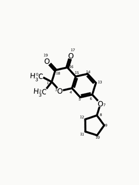 CC1(C)Oc2cc(OC3CCCC3)ccc2C(=O)C1=O